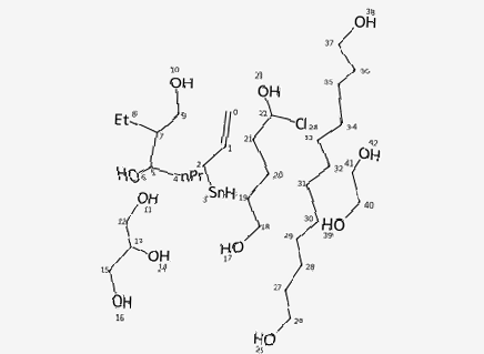 C=C[CH2][SnH].CCCC(O)C(CC)CO.OCC(O)CO.OCCCCC(O)Cl.OCCCCCCCCCCCCO.OCCO